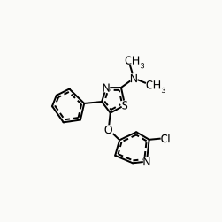 CN(C)c1nc(-c2ccccc2)c(Oc2ccnc(Cl)c2)s1